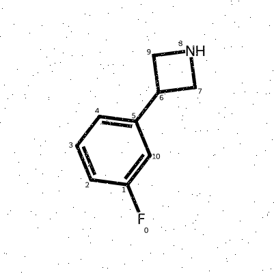 Fc1cccc(C2CNC2)c1